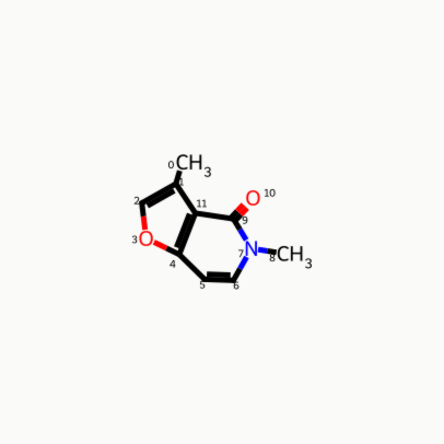 Cc1coc2ccn(C)c(=O)c12